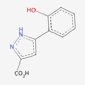 O=C(O)c1cc(-c2ccccc2O)[nH]n1